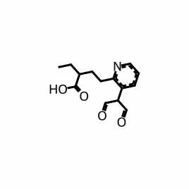 CCC(CCc1ncccc1C(C=O)C=O)C(=O)O